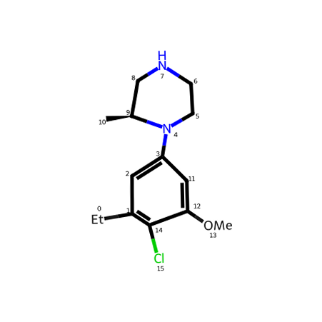 CCc1cc(N2CCNC[C@@H]2C)cc(OC)c1Cl